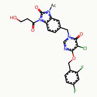 CC(=O)n1c(=O)n(C(=O)CCO)c2ccc(Cn3cnc(OCc4ccc(F)cc4F)c(Cl)c3=O)cc21